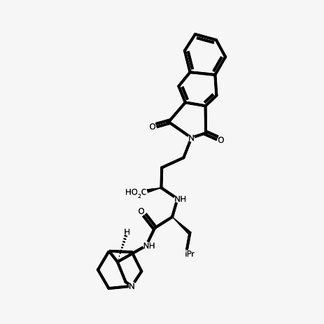 CC(C)C[C@H](N[C@H](CCN1C(=O)c2cc3ccccc3cc2C1=O)C(=O)O)C(=O)N[C@H]1CN2CCC1CC2